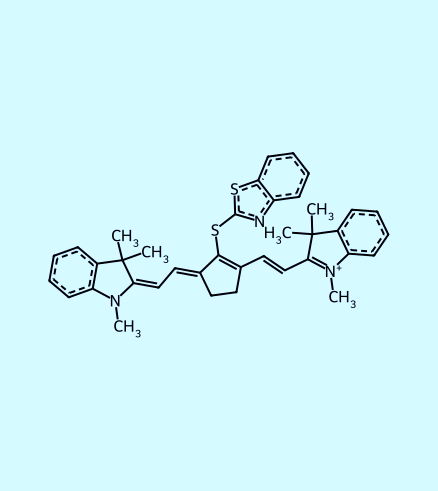 CN1/C(=C/C=C2\CCC(/C=C/C3=[N+](C)c4ccccc4C3(C)C)=C2Sc2nc3ccccc3s2)C(C)(C)c2ccccc21